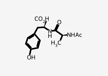 CC(=O)N[C@@H](C)C(=O)N[C@@H](Cc1ccc(O)cc1)C(=O)O